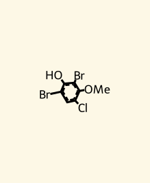 COc1c(Cl)cc(Br)c(O)c1Br